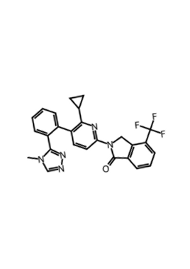 Cn1cnnc1-c1ccccc1-c1ccc(N2Cc3c(cccc3C(F)(F)F)C2=O)nc1C1CC1